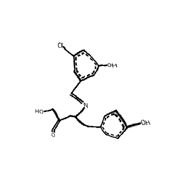 O=C(CO)C(Cc1ccc(O)cc1)N=Cc1cc(O)cc(Cl)c1